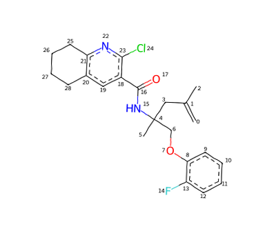 C=C(C)CC(C)(COc1ccccc1F)NC(=O)c1cc2c(nc1Cl)CCCC2